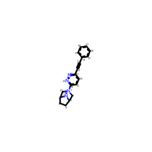 CN1C2CCC1CN(c1ccc(C#Cc3ccccc3)nn1)C2